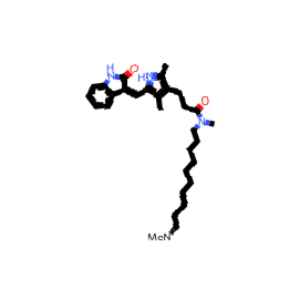 CNCCCCCCCCCCN(C)C(=O)CCc1c(C)[nH]c(C=C2C(=O)Nc3ccccc32)c1C